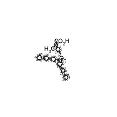 CCOC(CSc1ccc(OCC(=O)O)c(C)c1)=C(c1ccc(-c2ccc(-c3ccccc3)cc2)cc1)c1ccc(-c2ccc(-c3ccccc3)cc2)cc1